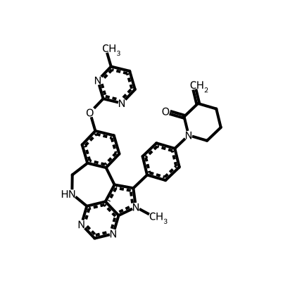 C=C1CCCN(c2ccc(-c3c4c5c(ncnc5n3C)NCc3cc(Oc5nccc(C)n5)ccc3-4)cc2)C1=O